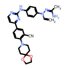 C=CN(/N=C(/C)N)c1ccc(Nc2nccc(-c3ccc(N4CCC5(CC4)OCCO5)c(C#N)c3)n2)cc1